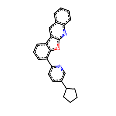 c1ccc2nc3oc4c(-c5ccc(C6CCCC6)cn5)cccc4c3cc2c1